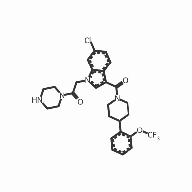 O=C(Cn1cc(C(=O)N2CCC(c3ccccc3OC(F)(F)F)CC2)c2ccc(Cl)cc21)N1CCNCC1